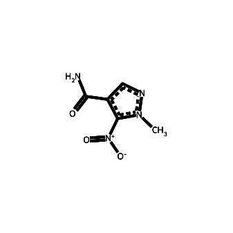 Cn1ncc(C(N)=O)c1[N+](=O)[O-]